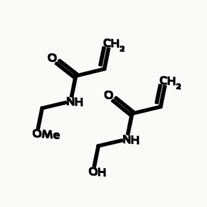 C=CC(=O)NCO.C=CC(=O)NCOC